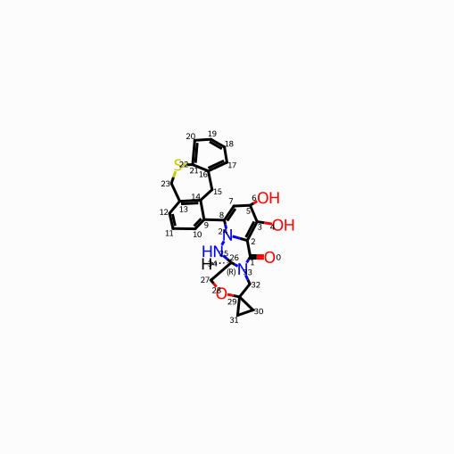 O=C1C2=C(O)C(O)C=C(c3cccc4c3Cc3ccccc3SC4)N2N[C@@H]2COC3(CC3)CN12